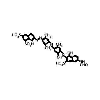 Cc1cc(N=Nc2cc(O)c(N=Nc3c(S(=O)(=O)O)cc4cc(NC=O)ccc4c3O)cc2C)c(C)cc1N=Nc1ccc2cc(S(=O)(=O)O)cc(S(=O)(=O)O)c2c1